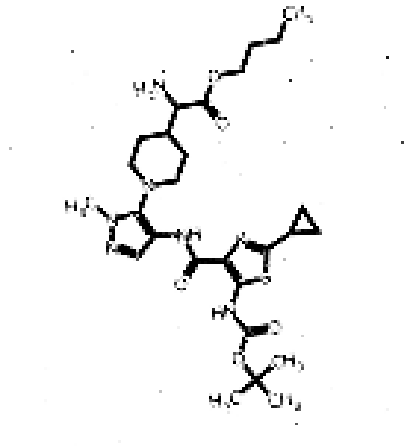 CCCCOC(=O)C(N)C1CCN(c2c(NC(=O)c3nc(C4CC4)sc3NC(=O)OC(C)(C)C)cnn2C)CC1